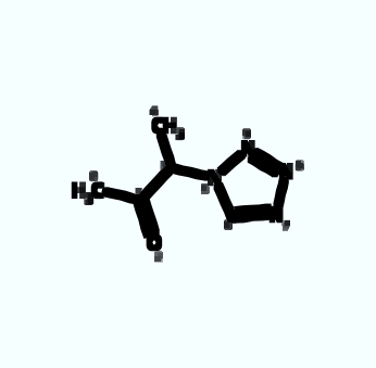 CC(=O)C(C)n1cnnn1